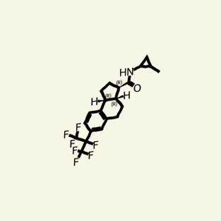 CC1CC1NC(=O)[C@@H]1CC[C@H]2c3ccc(C(F)(C(F)(F)F)C(F)(F)F)cc3CC[C@@H]12